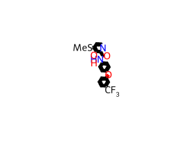 CSc1ccnc(C(=O)Nc2ccc(Oc3cccc(C(F)(F)F)c3)cc2)c1O